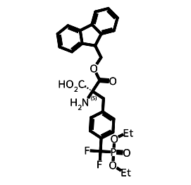 CCOP(=O)(OCC)C(F)(F)c1ccc(C[C@](N)(C(=O)O)C(=O)OCC2c3ccccc3-c3ccccc32)cc1